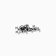 CC(C)C(NC(C)(C)C)C(=O)N[C@@H](C)C(=O)N[C@@H](CCCCNC(C)(C)C)C(=O)O